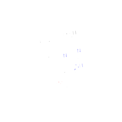 O=C(O)c1cnc(N[C@H]2CCOC2)nc1C1CCCC1